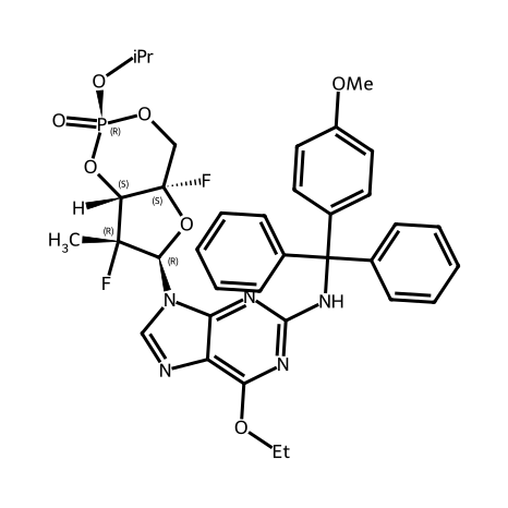 CCOc1nc(NC(c2ccccc2)(c2ccccc2)c2ccc(OC)cc2)nc2c1ncn2[C@@H]1O[C@]2(F)CO[P@](=O)(OC(C)C)O[C@H]2[C@@]1(C)F